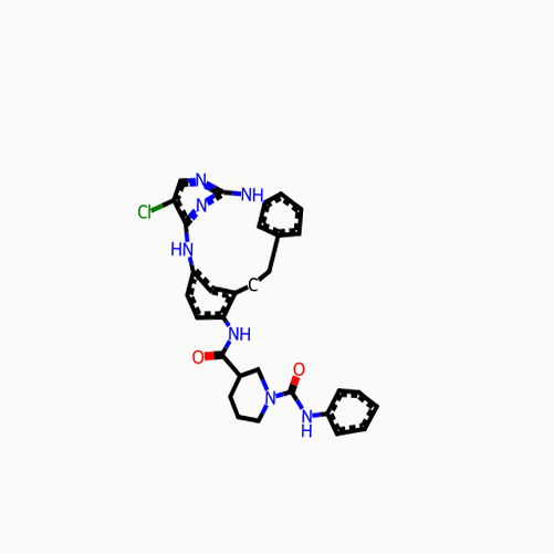 O=C(Nc1ccc2cc1CCc1cccc(c1)Nc1ncc(Cl)c(n1)N2)C1CCCN(C(=O)Nc2ccccc2)C1